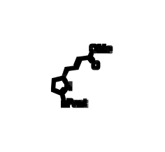 CCCCCC1=N[C@H](C/C=C/C(=O)OC)CC1